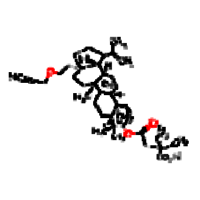 C#CCOCC[C@]12CC[C@@H](C(=C)C)[C@@H]1[C@H]1CC[C@@H]3[C@@]4(C)CC[C@H](OC(=O)CC(C)(C)C(=O)O)C(C)(C)[C@@H]4CC[C@@]3(C)[C@]1(C)CC2